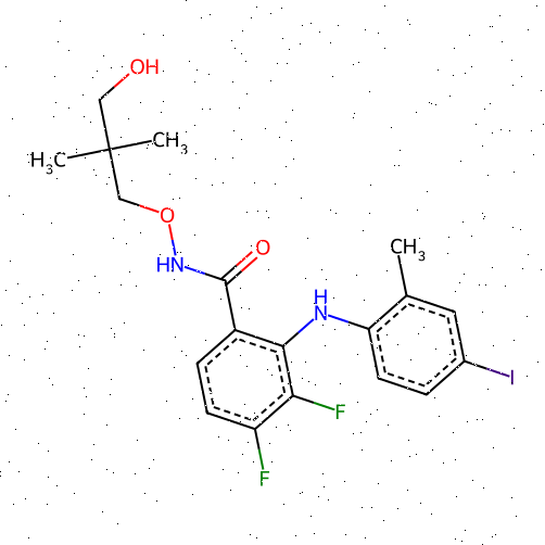 Cc1cc(I)ccc1Nc1c(C(=O)NOCC(C)(C)CO)ccc(F)c1F